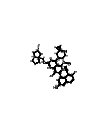 C#Cc1c(F)ccc2cc(O)cc(-c3nc(OC(C)C)c4c(N5CCNC6(CC6)C5)nc(OC[C@@]56CCCN5C[C@H](F)C6)nc4c3F)c12